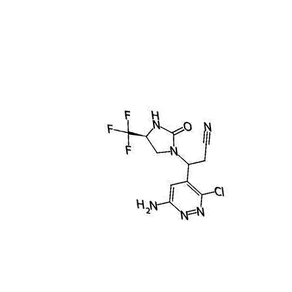 N#CCC(c1cc(N)nnc1Cl)N1C[C@@H](C(F)(F)F)NC1=O